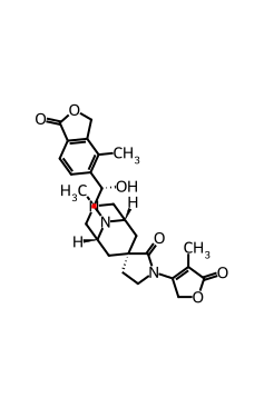 CC1=C(N2CC[C@]3(C[C@H]4CN(C)C[C@@H](C3)N4C[C@@H](O)c3ccc4c(c3C)COC4=O)C2=O)COC1=O